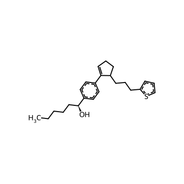 CCCCC[C@H](O)c1ccc(C2=CCCC2CCCc2cccs2)cc1